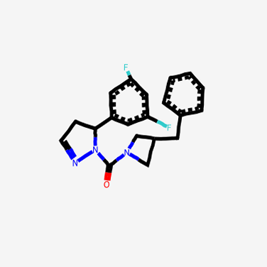 O=C(N1CC(Cc2ccccc2)C1)N1N=CCC1c1cc(F)cc(F)c1